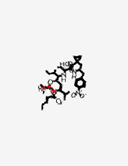 C/C=C(\NC(C(C)CC)C(CC(C(C)C)N(CCC)C(=O)CCCC)OC(=O)NC)C(=O)NC(Cc1ccc([N+](=O)[O-])cc1)CC1(C(=O)O)CC1